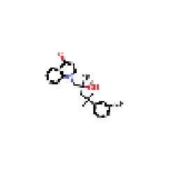 CC(C)(CC(O)(Cn1ccc(=O)c2ccccc21)C(F)(F)F)c1cccc(C#N)c1